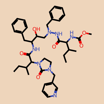 CCC(C)C(NC(=O)OC)C(=O)NN(Cc1ccccc1)CC(O)C(Cc1ccccc1)NC(=O)C(C(C)CC)N1CCN(Cc2cccnc2)C1=O